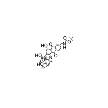 C[C@@H](O)[C@@]12O[C@]13c1cc(O)c4c(c1NC2C#C/C=C\C#C[C@H]3O)C(=O)c1ccc(CNC(=O)OC(C)(C)C)cc1C4=O